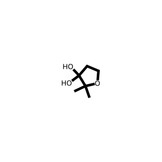 CC1(C)OCCC1(O)O